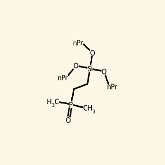 CCCO[Si](CCP(C)(C)=O)(OCCC)OCCC